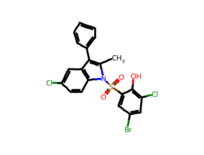 Cc1c(-c2ccccc2)c2cc(Cl)ccc2n1S(=O)(=O)c1cc(Br)cc(Cl)c1O